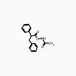 CC(=O)NOC(=O)C(Cc1ccccc1)c1ccccc1